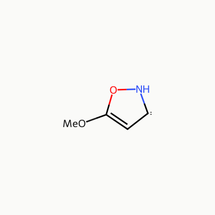 COC1=C[C]NO1